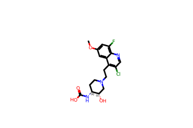 COc1cc(F)c2ncc(Cl)c(CCN3CC[C@@H](NC(=O)O)[C@@H](O)C3)c2c1